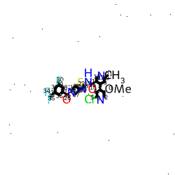 COc1cnc(Cl)cc1-c1cc(C)ncc1C(=O)Nc1nc2c(s1)CN(C(=O)c1cc(F)cc(C(F)F)c1)C2